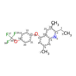 CCc1nc2cc(C)cc(Oc3ccc(OC(F)(F)F)cc3)c2cc1C